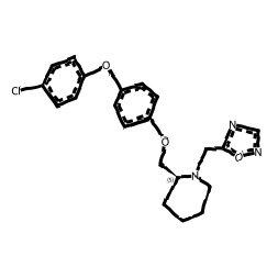 Clc1ccc(Oc2ccc(OC[C@@H]3CCCCN3Cc3ncno3)cc2)cc1